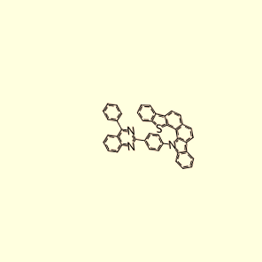 c1ccc(-c2nc(-c3ccc(-n4c5ccccc5c5ccc6ccc7c8ccccc8sc7c6c54)cc3)nc3ccccc23)cc1